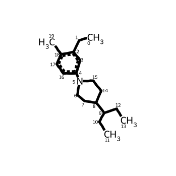 CCc1cc(N2CCC(C(CC)CC)CC2)ccc1C